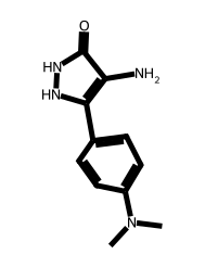 CN(C)c1ccc(-c2[nH][nH]c(=O)c2N)cc1